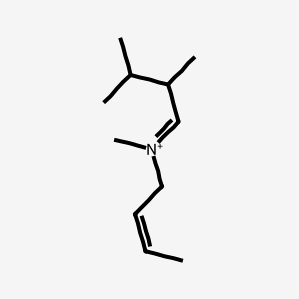 C/C=C\C/[N+](C)=C/C(C)C(C)C